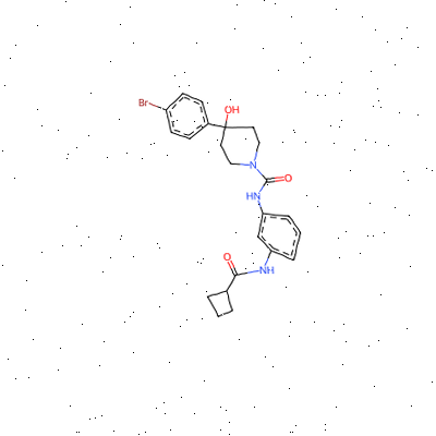 O=C(Nc1cccc(NC(=O)N2CCC(O)(c3ccc(Br)cc3)CC2)c1)C1CCC1